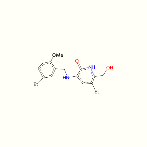 CCc1ccc(OC)c(CNc2cc(CC)c(CO)[nH]c2=O)c1